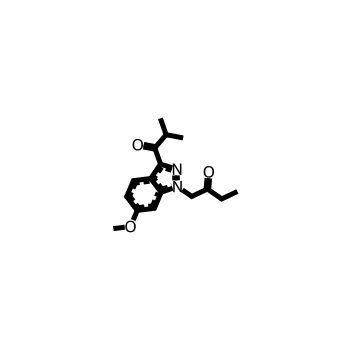 CCC(=O)Cn1nc(C(=O)C(C)C)c2ccc(OC)cc21